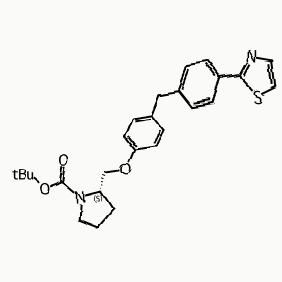 CC(C)(C)OC(=O)N1CCC[C@H]1COc1ccc(Cc2ccc(-c3nccs3)cc2)cc1